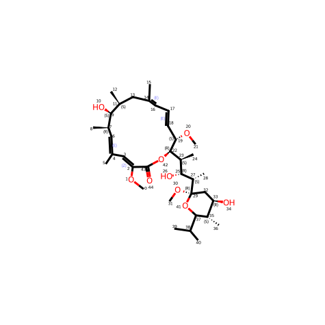 CO/C1=C\C(C)=C\[C@@H](C)[C@@H](O)[C@@H](C)C/C(C)=C/C=C/[C@H](OC)[C@@H]([C@@H](C)[C@@H](O)[C@H](C)[C@@]2(OC)C[C@@H](O)[C@H](C)C(C(C)C)O2)OC1=O